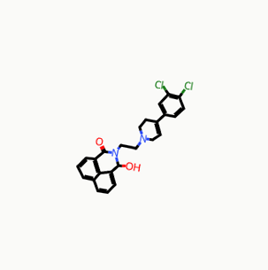 O=C1c2cccc3cccc(c23)C(O)N1CCN1CC=C(c2ccc(Cl)c(Cl)c2)CC1